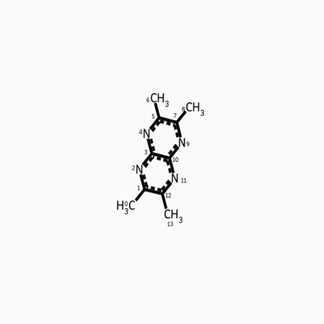 Cc1nc2nc(C)c(C)nc2nc1C